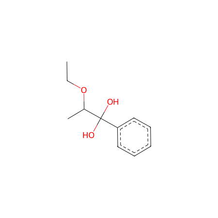 CCOC(C)C(O)(O)c1ccccc1